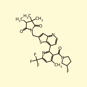 Cc1cc(C(F)(F)F)nc(-c2ccnc3cc(CN4C(=O)C(C)C(C)(C)C4=O)sc23)c1C(=O)N1CCC(F)C1